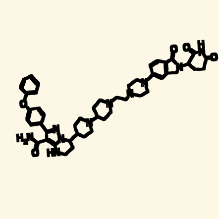 NC(=O)c1c(-c2ccc(Oc3ccccc3)cc2)nn2c1NCCC2C1CCN(C2CCN(CCN3CCN(c4ccc5c(c4)CN(C4CCC(=O)NC4=O)C5=O)CC3)CC2)CC1